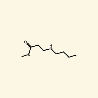 CCCCNCCC(=O)SC